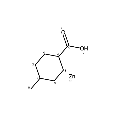 CC1CCC(C(=O)O)CC1.[Zn]